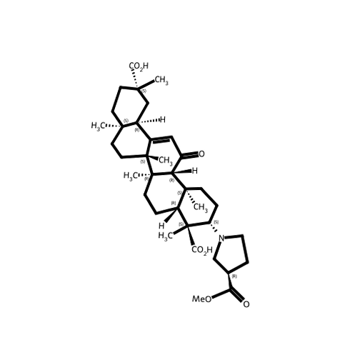 COC(=O)[C@@H]1CCN([C@H]2CC[C@@]3(C)[C@@H](CC[C@]4(C)[C@@H]3C(=O)C=C3[C@@H]5C[C@@](C)(C(=O)O)CC[C@]5(C)CC[C@]34C)[C@]2(C)C(=O)O)C1